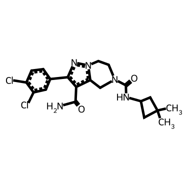 CC1(C)CC(NC(=O)N2CCn3nc(-c4ccc(Cl)c(Cl)c4)c(C(N)=O)c3C2)C1